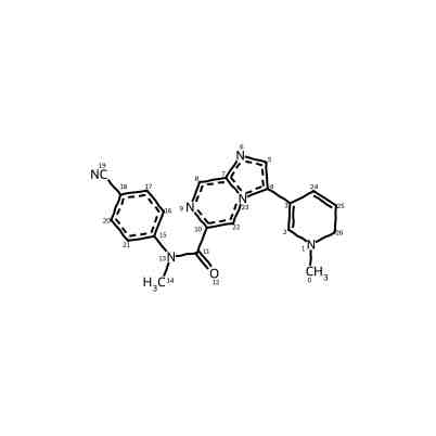 CN1C=C(c2cnc3cnc(C(=O)N(C)c4ccc(C#N)cc4)cn23)C=CC1